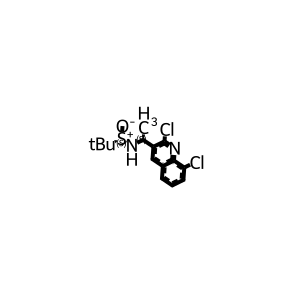 C[C@H](N[S@+]([O-])C(C)(C)C)c1cc2cccc(Cl)c2nc1Cl